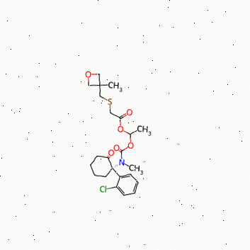 CC(OC(=O)CSCC1(C)COC1)OC(=O)N(C)[C@]1(c2ccccc2Cl)CCCCC1=O